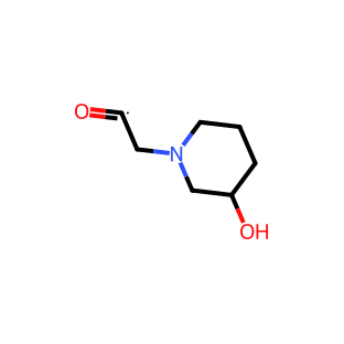 O=[C]CN1CCCC(O)C1